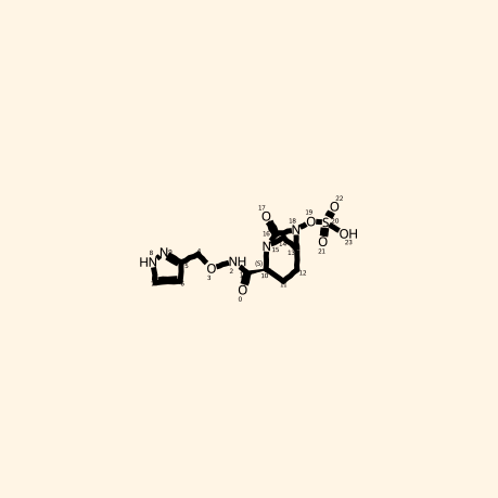 O=C(NOCc1cc[nH]n1)[C@@H]1CCC2CN1C(=O)N2OS(=O)(=O)O